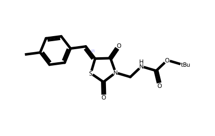 Cc1ccc(/C=C2\SC(=O)N(CNC(=O)OC(C)(C)C)C2=O)cc1